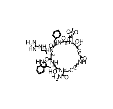 C[C@H]1CCC(=O)NCCCCC(C(N)=O)N[C@@H](O)[C@H](Cc2c[nH]c3ccccc23)NC(=O)[C@H](CCCNC(=N)N)NC(=O)[C@@H](Cc2ccccc2)NC(=O)[C@H](CCS(C)(=O)=O)N[C@H]1O